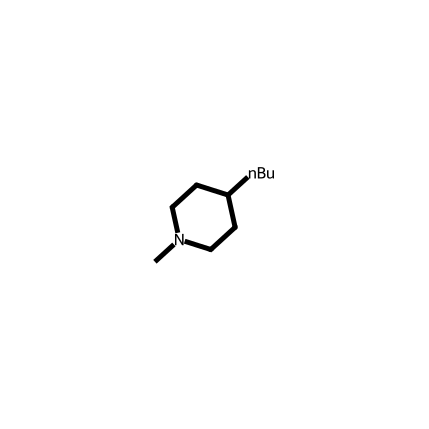 CCCCC1CCN(C)CC1